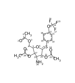 CC(=O)OCC1OC(Sc2ccc(OC(F)(F)F)cc2)C(OC(C)=O)C(N)C1OC(C)=O